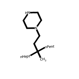 CCCCCCCC(C)(CCCCC)CCN1CCNCC1